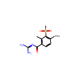 CCCCCCc1ccc(C(=O)N=C(N)N)c(C)c1S(C)(=O)=O